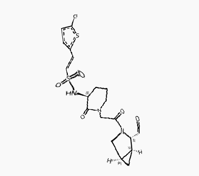 O=C[C@@H]1[C@H]2C[C@H]2CN1C(=O)CN1CCC[C@H](NS(=O)(=O)C=Cc2ccc(Cl)s2)C1=O